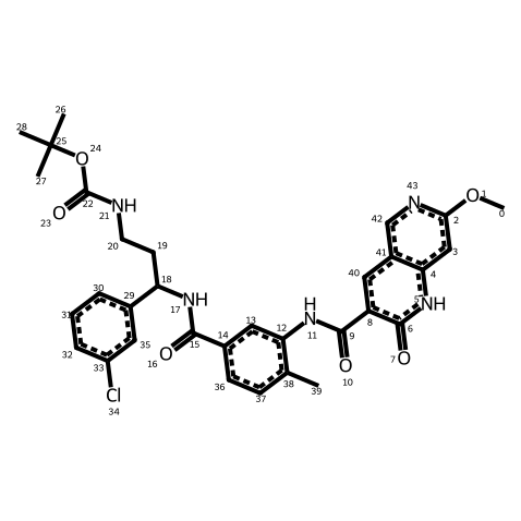 COc1cc2[nH]c(=O)c(C(=O)Nc3cc(C(=O)NC(CCNC(=O)OC(C)(C)C)c4cccc(Cl)c4)ccc3C)cc2cn1